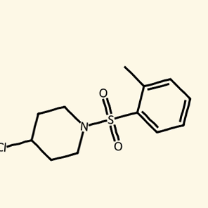 Cc1ccccc1S(=O)(=O)N1CCC(Cl)CC1